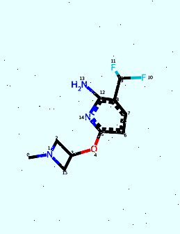 CN1CC(Oc2ccc(C(F)F)c(N)n2)C1